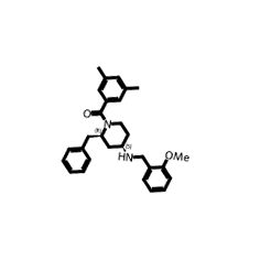 COc1ccccc1CN[C@H]1CCN(C(=O)c2cc(C)cc(C)c2)[C@H](Cc2ccccc2)C1